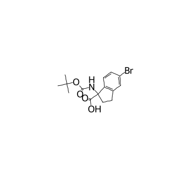 CC(C)(C)OC(=O)NC1(C(=O)O)CCc2cc(Br)ccc21